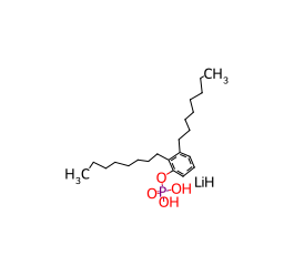 CCCCCCCCc1cccc(OP(=O)(O)O)c1CCCCCCCC.[LiH]